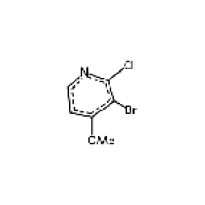 COc1ccnc(Cl)c1Br